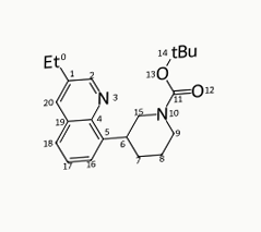 CCc1cnc2c(C3CCCN(C(=O)OC(C)(C)C)C3)cccc2c1